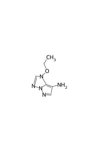 CCOn1cnn2ncc(N)c12